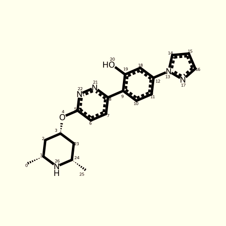 C[C@@H]1C[C@H](Oc2ccc(-c3ccc(-n4cccn4)cc3O)nn2)C[C@H](C)N1